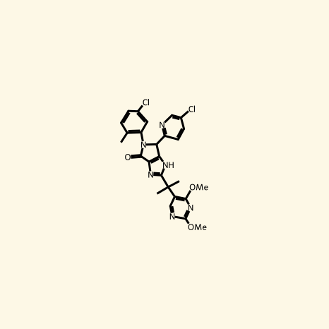 COc1ncc(C(C)(C)c2nc3c([nH]2)C(c2ccc(Cl)cn2)N(c2cc(Cl)ccc2C)C3=O)c(OC)n1